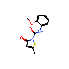 COc1ccccc1NC(=O)n1sc(C)cc1=O